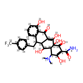 CN(C)C1C(O)=C(C(N)=O)C(=O)C2(O)C(O)=C3C(=O)c4c(O)cccc4C(Cc4ccc(C(F)(F)F)cc4)C3C(O)C12